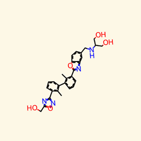 Cc1c(-c2noc(CO)n2)cccc1-c1cccc(-c2nc3cc(CNC(CO)CO)ccc3o2)c1C